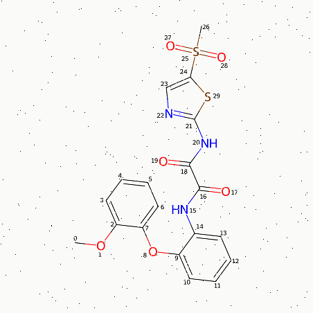 COc1ccccc1Oc1ccccc1NC(=O)C(=O)Nc1ncc(S(C)(=O)=O)s1